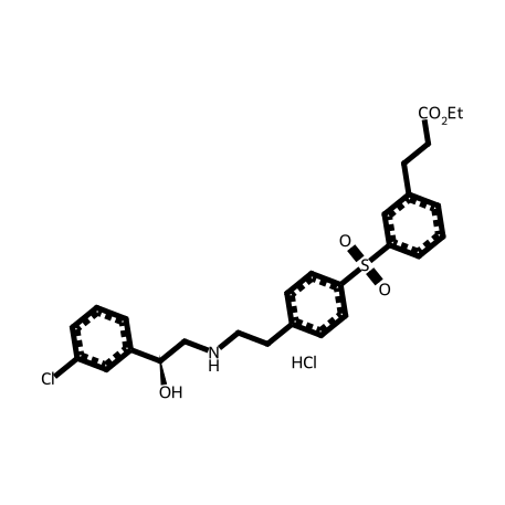 CCOC(=O)CCc1cccc(S(=O)(=O)c2ccc(CCNC[C@@H](O)c3cccc(Cl)c3)cc2)c1.Cl